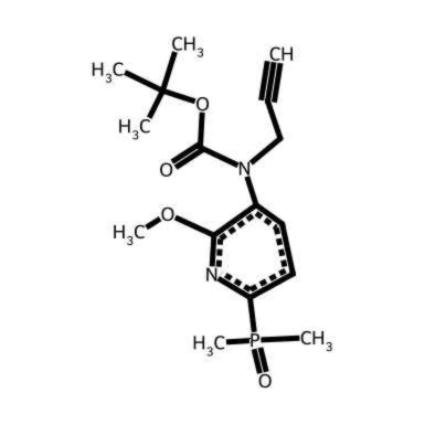 C#CCN(C(=O)OC(C)(C)C)c1ccc(P(C)(C)=O)nc1OC